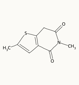 Cc1cc2c(s1)CC(=O)N(C)C2=O